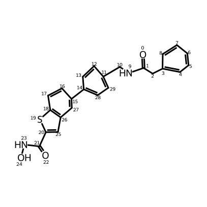 O=C(Cc1ccccc1)NCc1ccc(-c2ccc3sc(C(=O)NO)cc3c2)cc1